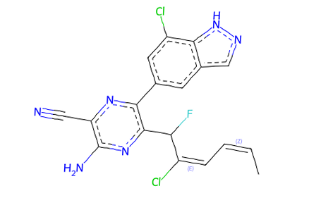 C/C=C\C=C(\Cl)C(F)c1nc(N)c(C#N)nc1-c1cc(Cl)c2[nH]ncc2c1